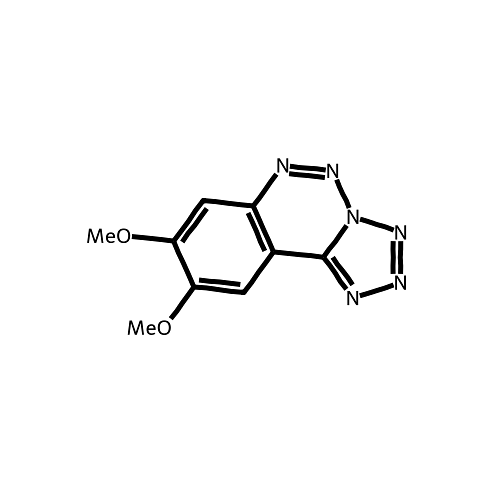 COc1cc2nnn3nnnc3c2cc1OC